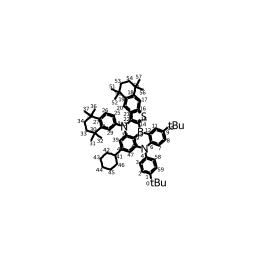 CC(C)(C)c1ccc(N2c3ccc(C(C)(C)C)cc3B3c4sc5cc6c(cc5c4N(c4ccc5c(c4)C(C)(C)CCC5(C)C)c4cc(C5CCCCC5)cc2c43)C(C)(C)CCC6(C)C)cc1